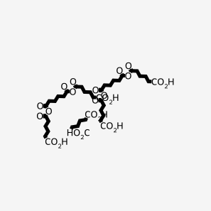 O=C(O)CCCCC(=O)O.O=C(O)CCCCC(=O)OC(=O)CCCCC(=O)OC(=O)CCCCC(=O)O.O=C(O)CCCCC(=O)OC(=O)CCCCC(=O)OC(=O)CCCCC(=O)O